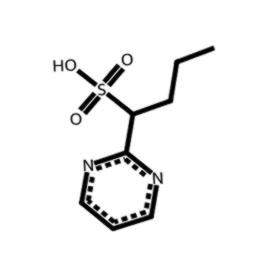 CCCC(c1ncccn1)S(=O)(=O)O